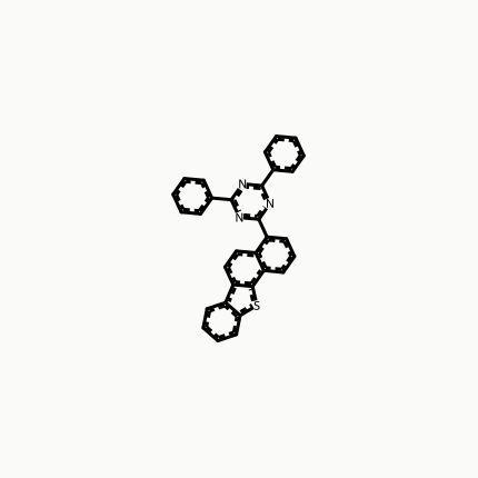 c1ccc(-c2nc(-c3ccccc3)nc(-c3cccc4c3ccc3c5ccccc5sc43)n2)cc1